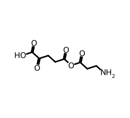 NCCC(=O)OC(=O)CCC(=O)C(=O)O